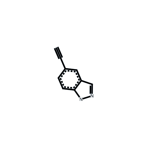 C#Cc1ccc2c(c1)C=N[N]2